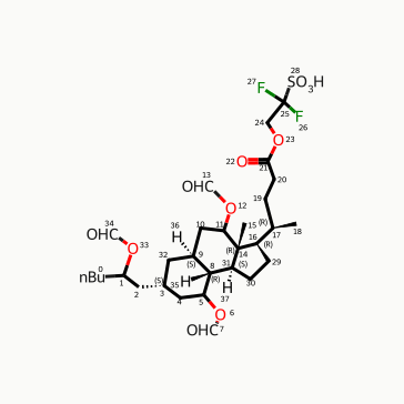 CCCCC(C[C@H]1CC(OC=O)[C@@H]2[C@H](CC(OC=O)[C@]3(C)[C@@H]([C@H](C)CCC(=O)OCC(F)(F)S(=O)(=O)O)CC[C@@H]23)C1)OC=O